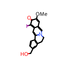 COc1cc2cn3c(cc-2c(I)c1=O)-c1ccc(CO)cc1CC3